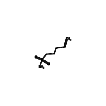 C=CCCCS(N)(=O)=O